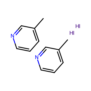 Cc1cccnc1.Cc1cccnc1.I.I